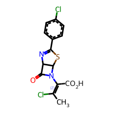 C/C(Cl)=C(\C(=O)O)N1C(=O)C2N=C(c3ccc(Cl)cc3)SC21